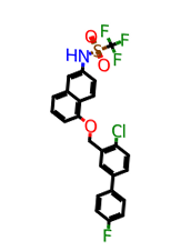 O=S(=O)(Nc1ccc2c(OCc3cc(-c4ccc(F)cc4)ccc3Cl)cccc2c1)C(F)(F)F